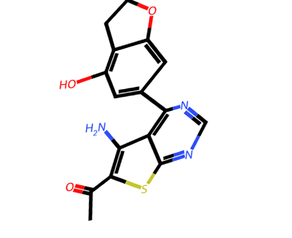 CC(=O)c1sc2ncnc(-c3cc(O)c4c(c3)OCC4)c2c1N